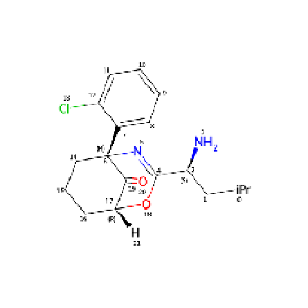 CC(C)C[C@H](N)C1=N[C@@]2(c3ccccc3Cl)CCC[C@@H](O1)C2=O